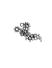 CC(C)(C)OC(=O)N1CC[C@H]([C@H](Cc2ccnc(Cl)c2)C(=O)N2C(=O)OC[C@@H]2Cc2ccccc2)C1